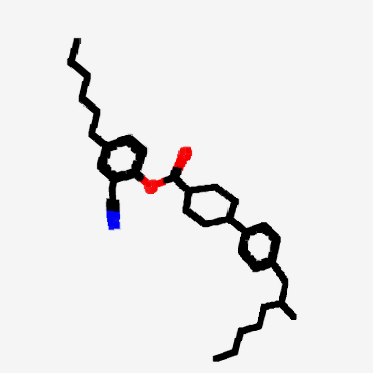 CCCCCCc1ccc(OC(=O)C2CCC(c3ccc(CC(C)CCCCC)cc3)CC2)c(C#N)c1